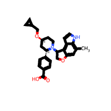 Cc1cc2c(c3cc[nH]c13)C(N1CC[C@H](OCC3CC3)C[C@H]1c1ccc(C(=O)O)cc1)CO2